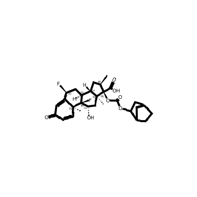 C[C@@H]1C[C@H]2[C@@H]3C[C@H](F)C4=CC(=O)C=C[C@]4(C)[C@@]3(F)[C@@H](O)C[C@]2(C)[C@@]1(OC(=O)OC1CC2CCC1C2)C(=O)O